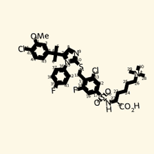 COc1cc(C(C)(C)c2cnc(SCc3c(F)cc(S(=O)(=O)N[C@H](CCCC[N+](C)(C)C)C(=O)O)cc3Cl)n2-c2ccc(F)cc2)ccc1Cl